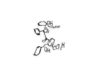 COC[C@]1(O)CCCC[C@H]1n1cnc(C(=O)N2CCN(C(=O)O)C[C@H]2C[C@@H](O)c2ccccc2)c1-c1ccccc1